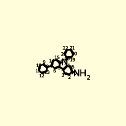 Nc1ccc2c3cc(-c4ccccc4)ccc3n(-c3ccccc3)c2c1